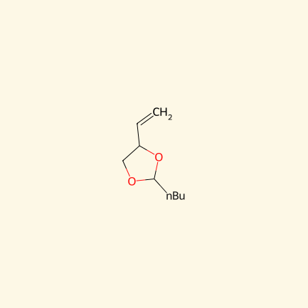 C=CC1COC(CCCC)O1